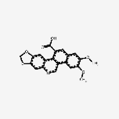 COc1cc2cc(C(=O)O)c3c4cc5c(cc4ncc3c2cc1OC)OCO5